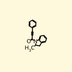 CC1Cc2ccccc2N1C(=O)C#Cc1ccccc1